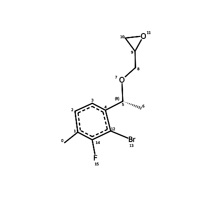 Cc1ccc([C@@H](C)OCC2CO2)c(Br)c1F